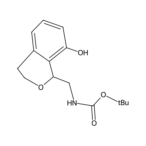 CC(C)(C)OC(=O)NCC1OCCc2cccc(O)c21